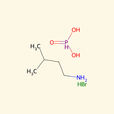 Br.CC(C)CCN.O=[PH](O)O